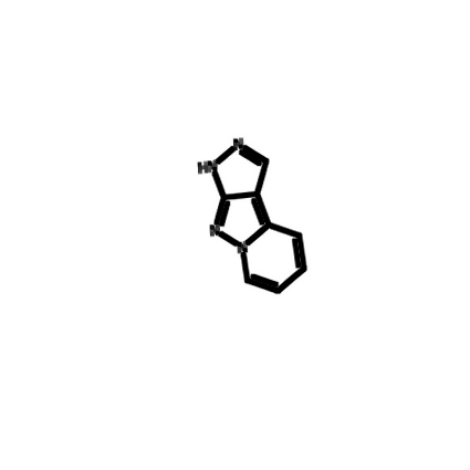 c1ccn2nc3[nH]ncc3c2c1